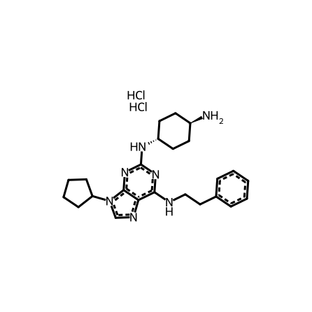 Cl.Cl.N[C@H]1CC[C@H](Nc2nc(NCCc3ccccc3)c3ncn(C4CCCC4)c3n2)CC1